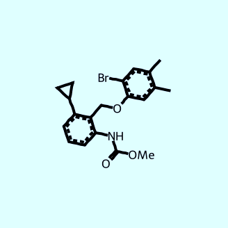 COC(=O)Nc1cccc(C2CC2)c1COc1cc(C)c(C)cc1Br